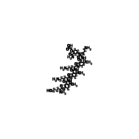 COc1ccc(NC(=O)[C@H](CCCCN)NC(=O)c2cc(OC(=O)[C@H](CCCCN)NC(=O)c3cc(OC(=O)[C@@H](N)CCCCO)ccc3OC)ccc2OC)cc1C(=O)N[C@@H](CCCCN)C(=O)Nc1ccc(OCC(=O)O)c(C(N)=O)c1